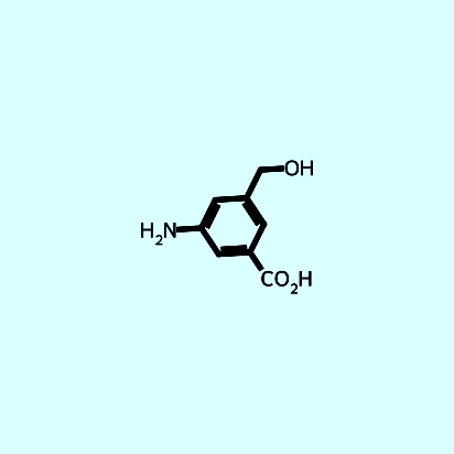 Nc1cc(CO)cc(C(=O)O)c1